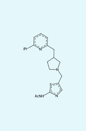 CC(=O)Nc1ncc(CN2CCC(Cc3cccc(C(C)C)n3)C2)s1